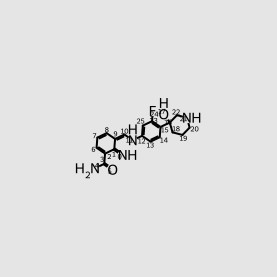 N=C1C(C(N)=O)=CC=C/C1=C/Nc1ccc(C2(O)CCCNC2)c(F)c1